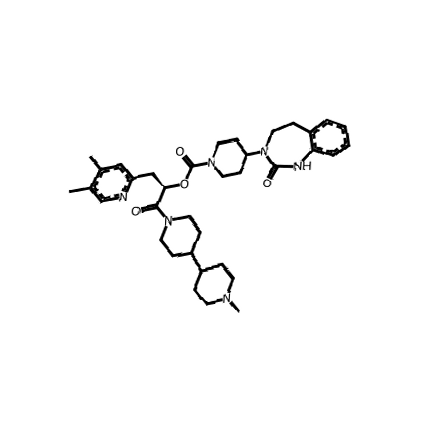 Cc1cnc(C[C@@H](OC(=O)N2CCC(N3CCc4ccccc4NC3=O)CC2)C(=O)N2CCC(C3CCN(C)CC3)CC2)cc1C